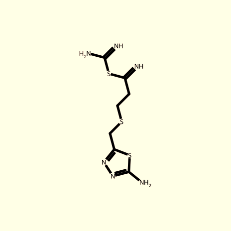 N=C(N)SC(=N)CCSCc1nnc(N)s1